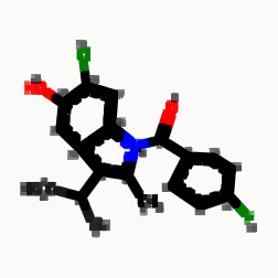 CCC(C)C(C(=O)O)c1c(C)n(C(=O)c2ccc(F)cc2)c2cc(Cl)c(O)cc12